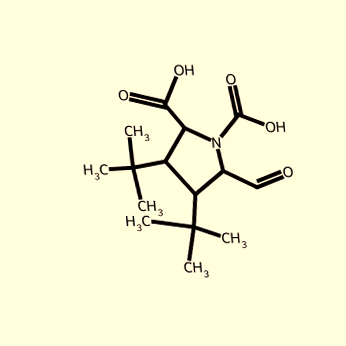 CC(C)(C)C1C(C=O)N(C(=O)O)C(C(=O)O)C1C(C)(C)C